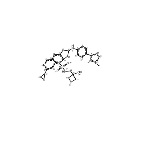 Cn1nnc(-c2ccc(NC3Cc4cc5cnc(C6CC6)cc5c(S(=O)(=O)NCC5(O)COC5)c4C3)cn2)n1